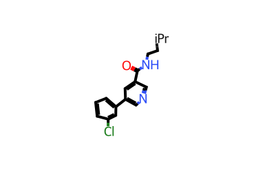 CC(C)CCNC(=O)c1cncc(-c2cccc(Cl)c2)c1